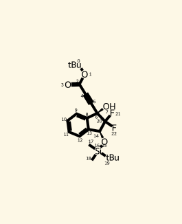 CC(C)(C)OC(=O)C#C[C@@]1(O)c2ccccc2[C@H](O[Si](C)(C)C(C)(C)C)C1(F)F